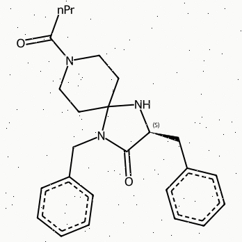 CCCC(=O)N1CCC2(CC1)N[C@@H](Cc1ccccc1)C(=O)N2Cc1ccccc1